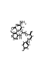 C=C(/C=C\Nc1ccc(C)cc1)OCC(C)Nc1ncnc(C)c1-n1ccc(N)nc1=O